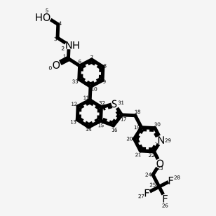 O=C(NCCO)c1cccc(-c2cccc3cc(Cc4ccc(OCC(F)(F)F)nc4)sc23)c1